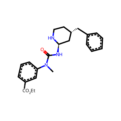 CCOC(=O)c1cccc(N(C)C(=O)N[C@@H]2C[C@@H](Cc3ccccc3)CCN2)c1